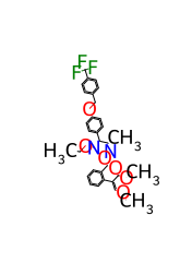 CCON=C(C(C)=NOCc1ccccc1C(=COC)C(=O)OC)c1ccc(OCc2ccc(C(F)(F)F)cc2)cc1